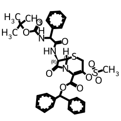 CC(C)(C)OC(=O)NC(C(=O)N[C@@H]1C(=O)N2C(C(=O)OC(c3ccccc3)c3ccccc3)=C(OS(C)(=O)=O)CS[C@@H]12)c1ccccc1